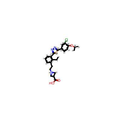 CCc1c(CCN2CC(C(=O)O)C2)cccc1-c1nnc(-c2ccc(OC(C)C)c(Cl)c2)s1